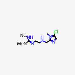 CNC(=NCCNCc1ncc(Cl)n1C)NC#N